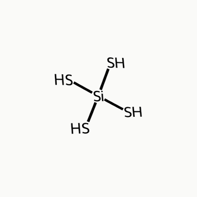 S[Si](S)(S)S